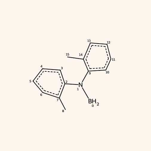 BN(c1ccccc1C)c1ccccc1C